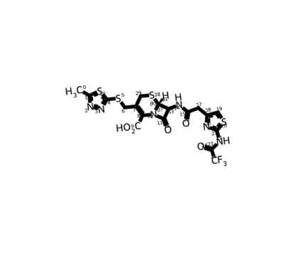 Cc1nnc(SCC2=C(C(=O)O)N3C(=O)C(NC(=O)Cc4csc(NC(=O)C(F)(F)F)n4)[C@H]3SC2)s1